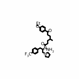 CCOc1ccc(C(=O)CCC(C)CCC(=O)N(N)C(Cc2ccc(C(F)(F)F)cc2)CN2CCCC2)cc1